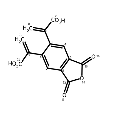 C=C(C(=O)O)c1cc2c(cc1C(=C)C(=O)O)C(=O)OC2=O